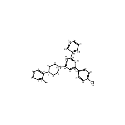 Cc1ccccc1N1CCN(c2cc(-c3ccc(Cl)cc3)nc(-c3cccnc3)n2)CC1